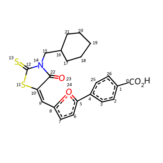 O=C(O)c1ccc(-c2ccc(C=C3SC(=S)N(CC4CCCCC4)C3=O)o2)cc1